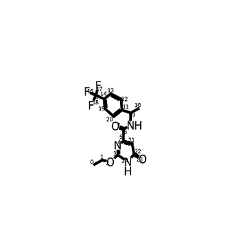 CCOc1nc(C(=O)NC(C)c2ccc(C(F)(F)F)cc2)cc(=O)[nH]1